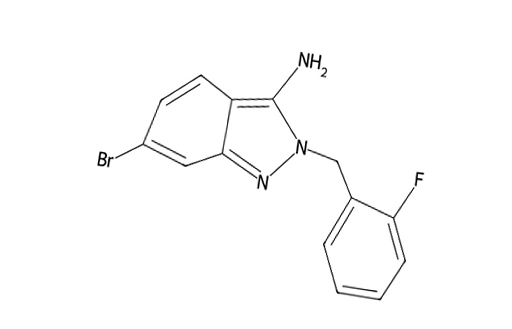 Nc1c2ccc(Br)cc2nn1Cc1ccccc1F